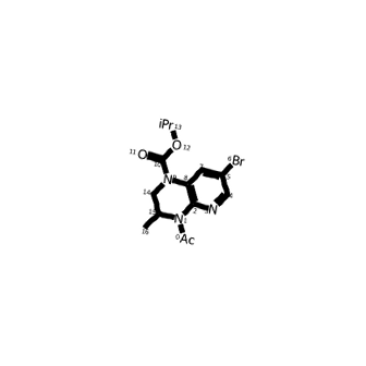 CC(=O)N1c2ncc(Br)cc2N(C(=O)OC(C)C)CC1C